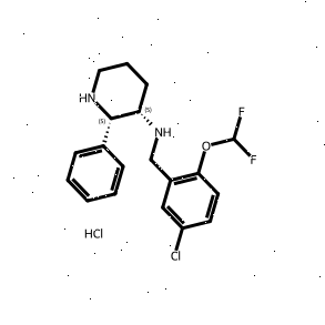 Cl.FC(F)Oc1ccc(Cl)cc1CN[C@H]1CCCN[C@H]1c1ccccc1